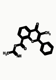 CC(=N)OC(=O)c1cccc2c(=O)c(C)c(-c3ccccc3)oc12